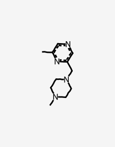 Cc1cncc(CN2CCN(C)CC2)n1